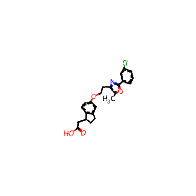 Cc1oc(-c2cccc(Cl)c2)nc1CCOc1ccc2c(c1)CCC2CC(=O)O